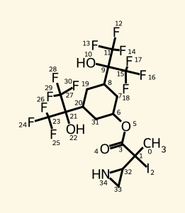 CC(I)(C(=O)OC1CC(C(O)(C(F)(F)F)C(F)(F)F)CC(C(O)(C(F)(F)F)C(F)(F)F)C1)C1CN1